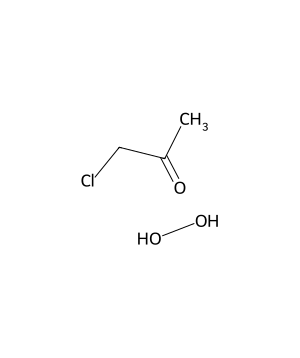 CC(=O)CCl.OO